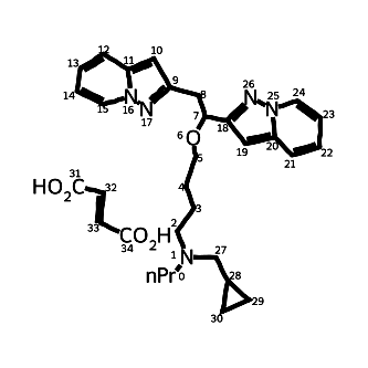 CCCN(CCCCOC(Cc1cc2ccccn2n1)c1cc2ccccn2n1)CC1CC1.O=C(O)C=CC(=O)O